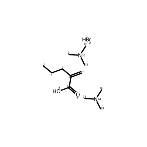 Br.C=C(CCC)C(=O)O.CN(C)C.CN(C)C